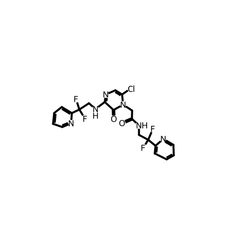 O=C(Cn1c(Cl)cnc(NCC(F)(F)c2ccccn2)c1=O)NCC(F)(F)c1ccccn1